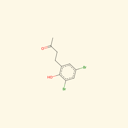 CC(=O)CCc1cc(Br)cc(Br)c1O